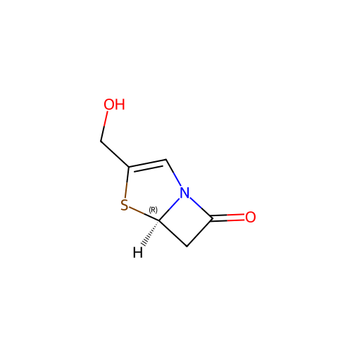 O=C1C[C@H]2SC(CO)=CN12